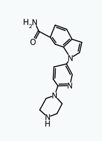 NC(=O)c1ccc2ccn(-c3ccc(N4CCNCC4)nc3)c2c1